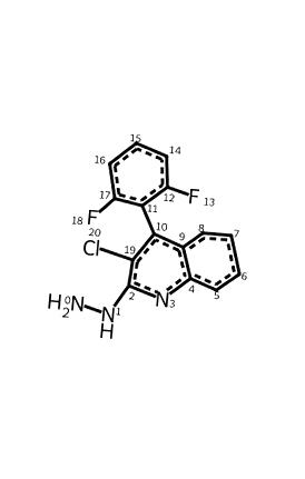 NNc1nc2ccccc2c(-c2c(F)cccc2F)c1Cl